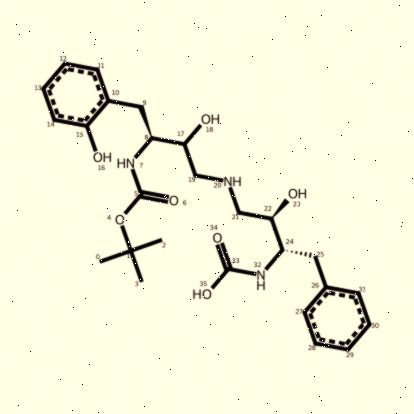 CC(C)(C)OC(=O)N[C@@H](Cc1ccccc1O)C(O)CNC[C@@H](O)[C@H](Cc1ccccc1)NC(=O)O